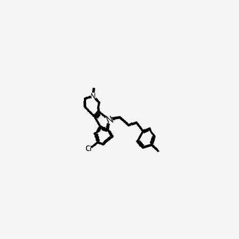 Cc1ccc(CCCn2c3c(c4cc(Cl)ccc42)CCN(C)C3)cc1